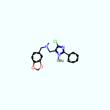 CCCCn1c(-c2ccccc2)nc(Cl)c1CN(C)Cc1ccc2c(c1)OCO2